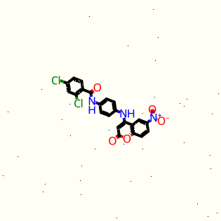 O=C(Nc1ccc(Nc2cc(=O)oc3ccc([N+](=O)[O-])cc23)cc1)c1ccc(Cl)cc1Cl